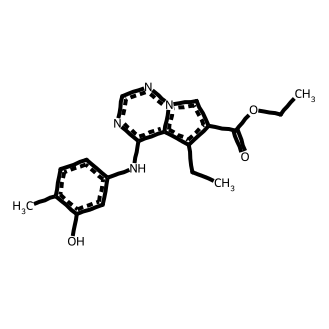 CCOC(=O)c1cn2ncnc(Nc3ccc(C)c(O)c3)c2c1CC